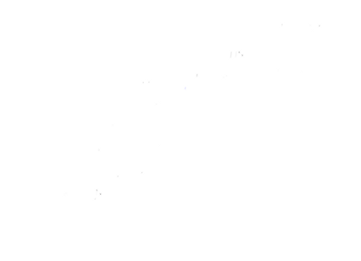 COC(C=O)NC(=O)/C=C/C(=O)c1ccc([N+](=O)[O-])cc1